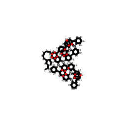 C=C1/C=C\C=C/CC(=C/C=C\C)/C(=C\C)N1c1cc2c3c(c1)N(c1ccccc1-c1ccccc1)c1cc(-c4cccc(-n5c6ccccc6c6ccccc65)c4-n4c5ccccc5c5ccccc54)ccc1B3c1ccc(-c3cccc(-n4c5ccccc5c5ccccc54)c3-n3c4ccccc4c4ccccc43)cc1N2c1ccccc1-c1ccccc1